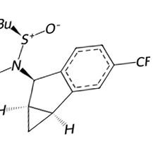 CN([C@H]1c2ccc(C(F)(F)F)cc2[C@H]2C[C@H]21)[S@+]([O-])C(C)(C)C